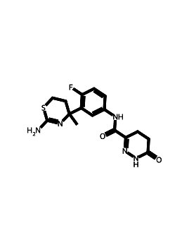 CC1(c2cc(NC(=O)C3=NNC(=O)CC3)ccc2F)CCSC(N)=N1